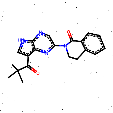 CC(C)(C)C(=O)c1c[nH]c2ncc(N3CCc4ccccc4C3=O)nc12